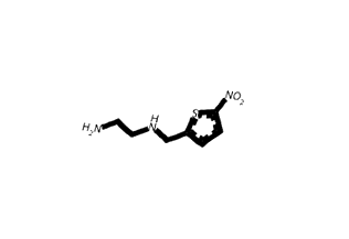 NCCNCc1ccc([N+](=O)[O-])s1